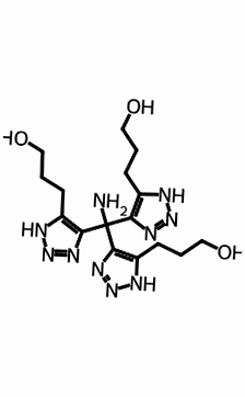 NC(c1nn[nH]c1CCCO)(c1nn[nH]c1CCCO)c1nn[nH]c1CCCO